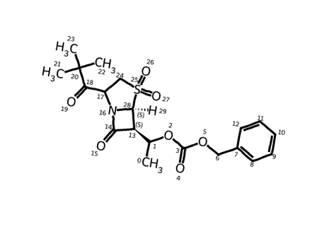 CC(OC(=O)OCc1ccccc1)[C@H]1C(=O)N2C(C(=O)C(C)(C)C)CS(=O)(=O)[C@@H]12